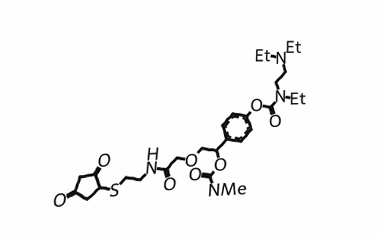 CCN(CC)CCN(CC)C(=O)Oc1ccc(C(COCC(=O)NCCSC2CC(=O)CC2=O)OC(=O)NC)cc1